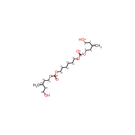 CC(CCO)CCOC(=O)OCCCCCCOC(=O)OCCC(C)CCO